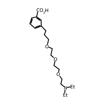 CCN(CC)CCOCCOCCOCCCc1cccc(C(=O)O)c1